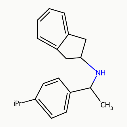 CC(C)c1ccc(C(C)NC2Cc3ccccc3C2)cc1